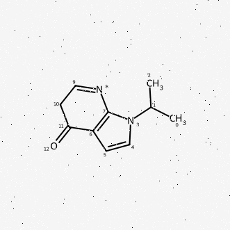 CC(C)n1ccc2c1N=CCC2=O